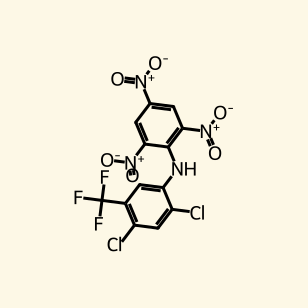 O=[N+]([O-])c1cc([N+](=O)[O-])c(Nc2cc(C(F)(F)F)c(Cl)cc2Cl)c([N+](=O)[O-])c1